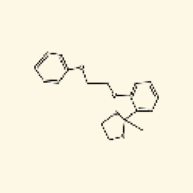 CC1(c2ccccc2OCCOc2ccccc2)SCCS1